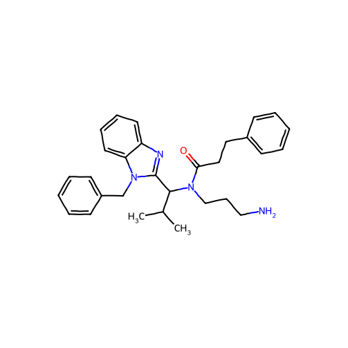 CC(C)C(c1nc2ccccc2n1Cc1ccccc1)N(CCCN)C(=O)CCc1ccccc1